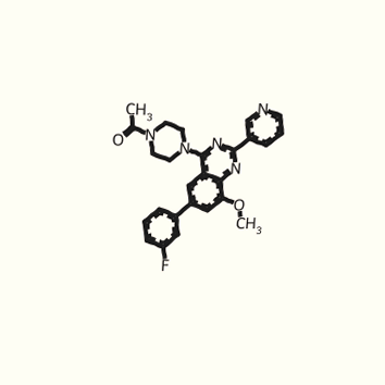 COc1cc(-c2cccc(F)c2)cc2c(N3CCN(C(C)=O)CC3)nc(-c3cccnc3)nc12